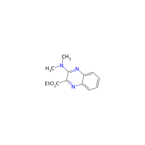 CCOC(=O)c1nc2ccccc2nc1N(C)C